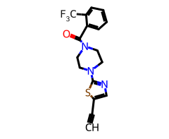 C#Cc1cnc(N2CCN(C(=O)c3ccccc3C(F)(F)F)CC2)s1